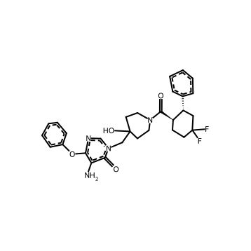 Nc1c(Oc2ccccc2)ncn(CC2(O)CCN(C(=O)[C@@H]3CCC(F)(F)C[C@H]3c3ccccc3)CC2)c1=O